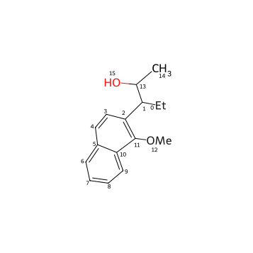 CCC(c1ccc2ccccc2c1OC)C(C)O